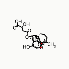 CN1CCC[C@]23c4c5ccc(O)c4O[C@H]2C(OC(=O)C[C@H](O)C(=O)O)=CC[C@@]3(O)[C@H]1C5